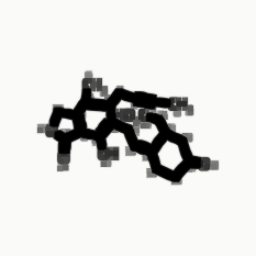 CC#CCc1c(C)c2c(c(O)c1CC=C1CCC(=O)CC1CC(=O)O)C(=O)OC2